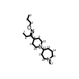 CCCO/N=C(\CC)C1CCN(C2CCCN(C)CC2)CC1